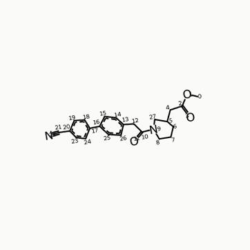 COC(=O)CC1CCCN(C(=O)Cc2ccc(-c3ccc(C#N)cc3)cc2)C1